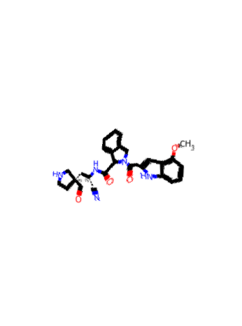 COc1cccc2[nH]c(C(=O)N3Cc4ccccc4C3C(=O)N[C@H](C#N)C[C@]3(C=O)CCNC3)cc12